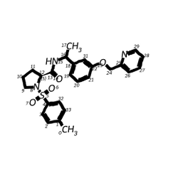 Cc1ccc(S(=O)(=O)N2CCC[C@H]2C(=O)NC(C)c2cccc(OCc3ccccn3)c2)cc1